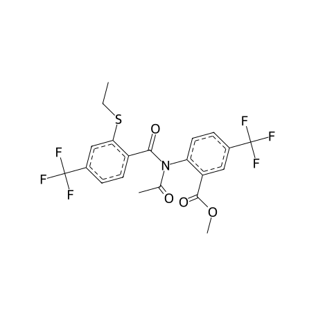 CCSc1cc(C(F)(F)F)ccc1C(=O)N(C(C)=O)c1ccc(C(F)(F)F)cc1C(=O)OC